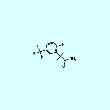 CC(C)(C(N)=O)c1cc(C(F)(F)F)ccc1F